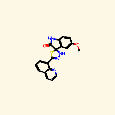 COc1ccc2c(c1)C1(NN=C(c3cccc4cccnc34)S1)C(=O)N2